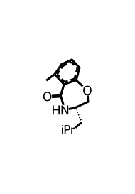 Cc1cccc2c1C(=O)N[C@@H](CC(C)C)CO2